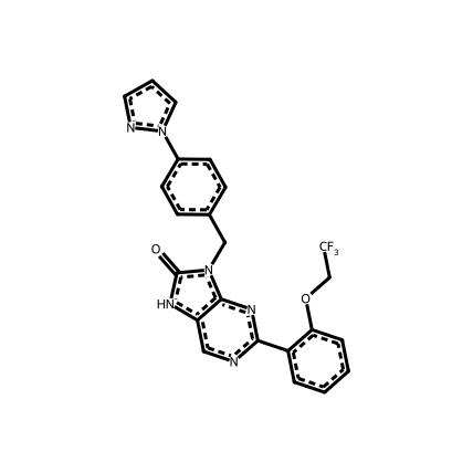 O=c1[nH]c2cnc(-c3ccccc3OCC(F)(F)F)nc2n1Cc1ccc(-n2cccn2)cc1